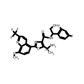 COc1ccc(-c2nc(C(=O)NC(CO)c3ccc(F)cc3F)c([C@H](C)N)o2)c2ccc(C(F)(F)F)nc12